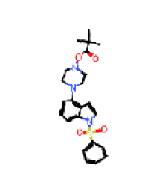 CC(C)(C)C(=O)ON1CCN(c2cccc3c2ccn3S(=O)(=O)c2ccccc2)CC1